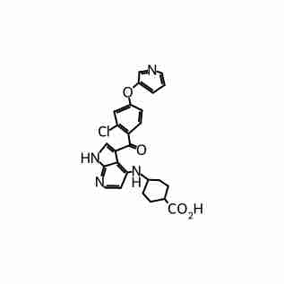 O=C(c1ccc(Oc2cccnc2)cc1Cl)c1c[nH]c2nccc(NC3CCC(C(=O)O)CC3)c12